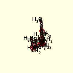 C=C(CC)C(=O)OCCCCCC.C=C(CCC)C(=O)OCCCC(C)CC.C=C(CCC)C(=O)OCCCCCCC.C=CC(=O)OCCCCCCCCCCCC.C=CC(=O)OCCCCCCCCCCCCCC.CC(=O)OC1=CCC1